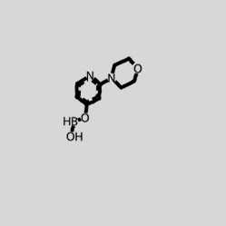 OBOc1ccnc(N2CCOCC2)c1